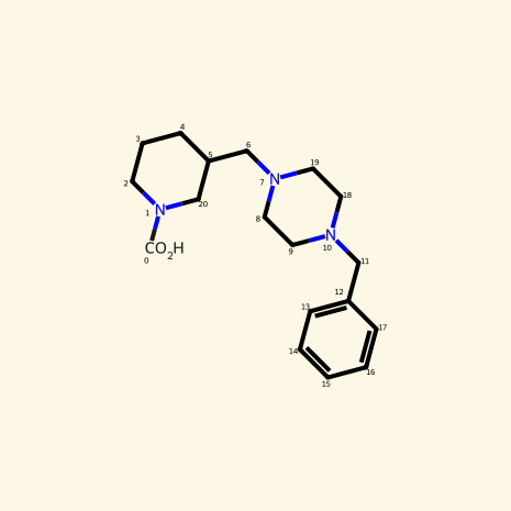 O=C(O)N1CCCC(CN2CCN(Cc3ccccc3)CC2)C1